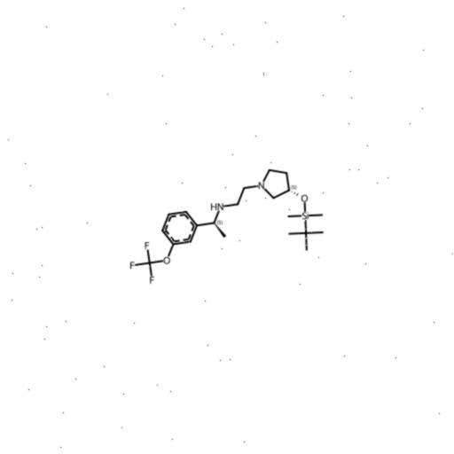 C[C@H](NCCN1CC[C@H](O[Si](C)(C)C(C)(C)C)C1)c1cccc(OC(F)(F)F)c1